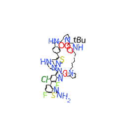 Cc1ncsc1-c1ccc(C(C)NC(=O)C2CCCN2C(=O)C(NC(=O)CCCCCCN2CCCC2COc2nc(N3C4CCC3CNC4)c3cc(Cl)c(-c4ccc(F)c5sc(N)nc45)c(F)c3n2)C(C)(C)C)cc1